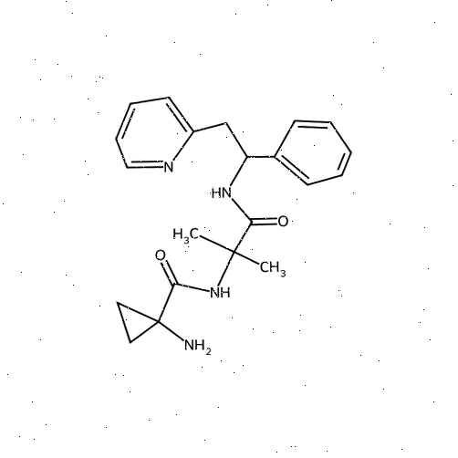 CC(C)(NC(=O)C1(N)CC1)C(=O)NC(Cc1ccccn1)c1ccccc1